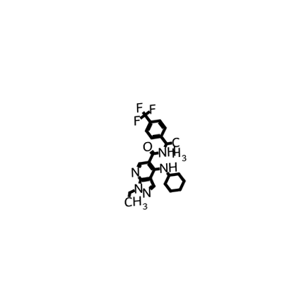 CCn1ncc2c(NC3CCCCC3)c(C(=O)NC(C)c3ccc(C(F)(F)F)cc3)cnc21